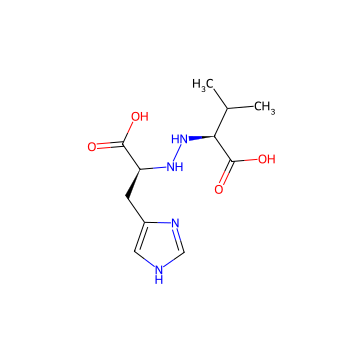 CC(C)[C@H](NN[C@@H](Cc1c[nH]cn1)C(=O)O)C(=O)O